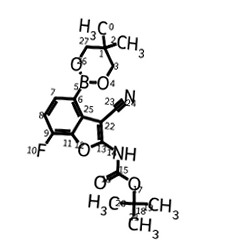 CC1(C)COB(c2ccc(F)c3oc(NC(=O)OC(C)(C)C)c(C#N)c23)OC1